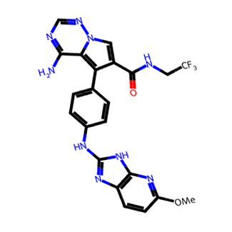 COc1ccc2nc(Nc3ccc(-c4c(C(=O)NCC(F)(F)F)cn5ncnc(N)c45)cc3)[nH]c2n1